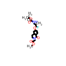 C=C(CNC(=O)OC(C)(C)C)C(F)Oc1ccc2c(c1)CCN(CC(=O)OC)C2=O